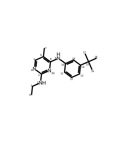 CCNc1ncc(C)c(Nc2cccc(C(C)(C)C)c2)n1